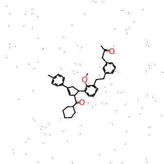 COc1c(CCc2cccc(CC(C)=O)c2)cccc1C1CC(c2ccc(C)cc2)=CC1C(=O)C1CCCCC1